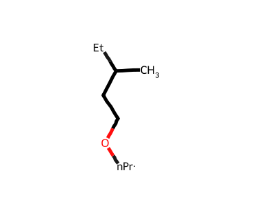 CC[CH]OCCC(C)CC